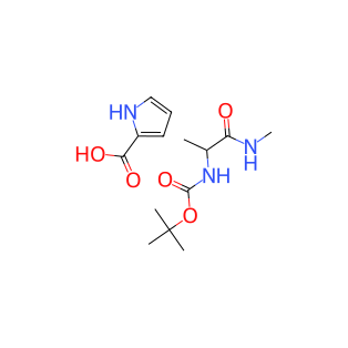 CNC(=O)C(C)NC(=O)OC(C)(C)C.O=C(O)c1ccc[nH]1